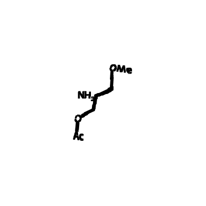 COCCCOC(C)=O.N